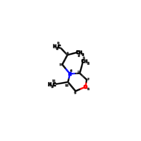 CC(C)CN1C(C)COCC1C